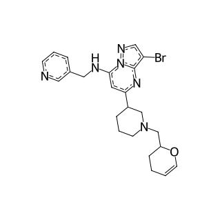 Brc1cnn2c(NCc3cccnc3)cc(C3CCCN(CC4CCC=CO4)C3)nc12